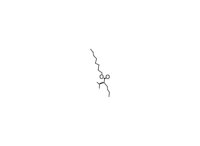 CCCCCCCCOC(=O)C(CCCC)=C(C)C